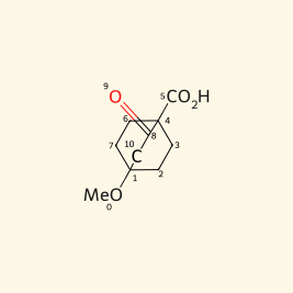 COC12CCC(C(=O)O)(CC1)C(=O)C2